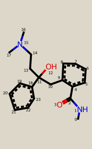 CNC(=O)c1ccccc1CC(O)(CCN(C)C)c1ccccc1